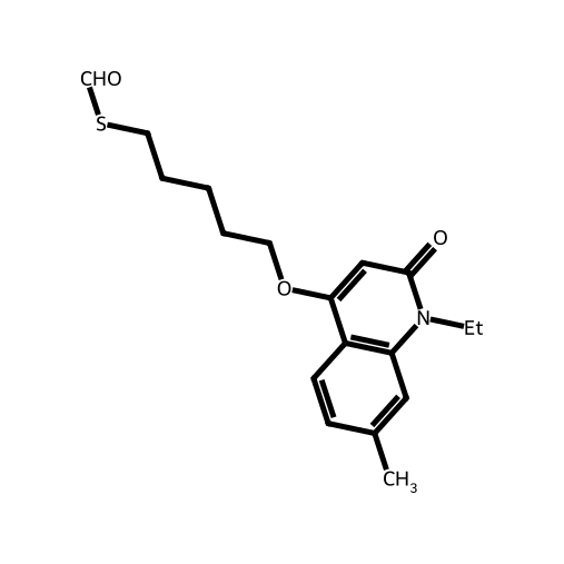 CCn1c(=O)cc(OCCCCCSC=O)c2ccc(C)cc21